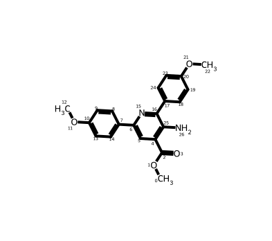 COC(=O)c1cc(-c2ccc(OC)cc2)nc(-c2ccc(OC)cc2)c1N